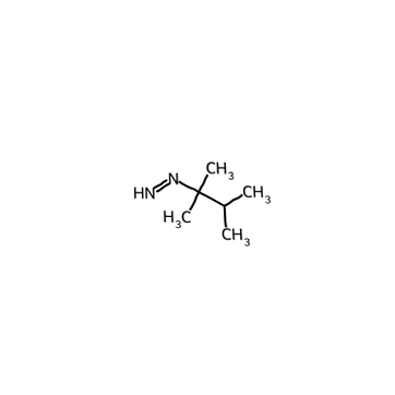 CC(C)C(C)(C)N=N